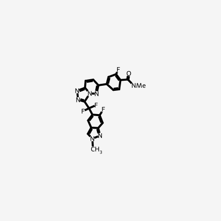 CNC(=O)c1ccc(-c2ccc3nnc(C(F)(F)c4cc5cn(C)nc5cc4F)n3n2)cc1F